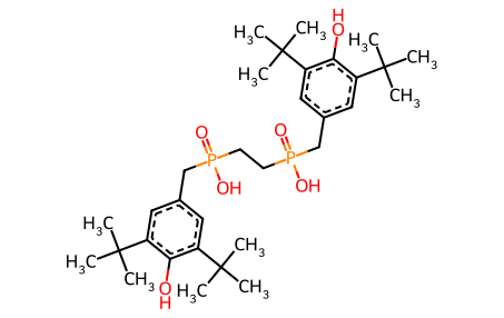 CC(C)(C)c1cc(CP(=O)(O)CCP(=O)(O)Cc2cc(C(C)(C)C)c(O)c(C(C)(C)C)c2)cc(C(C)(C)C)c1O